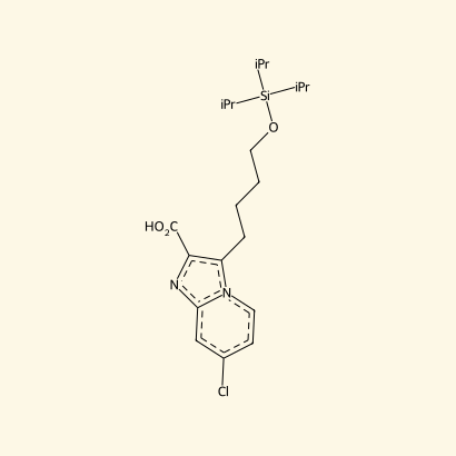 CC(C)[Si](OCCCCc1c(C(=O)O)nc2cc(Cl)ccn12)(C(C)C)C(C)C